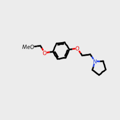 COCOc1ccc(OCCN2CCCC2)cc1